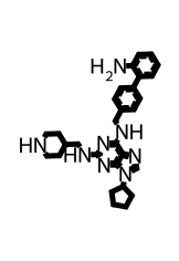 Nc1ccccc1-c1ccc(CNc2nc(NCC3CCNCC3)nc3c2ncn3C2CCCC2)cc1